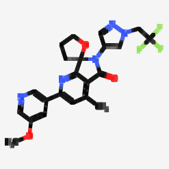 COc1cncc(-c2cc(C)c3c(n2)C2(CCCO2)N(c2cnn(CC(F)(F)F)c2)C3=O)c1